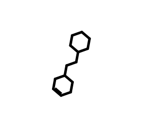 C1=CCC(CCC2CCCCC2)CC1